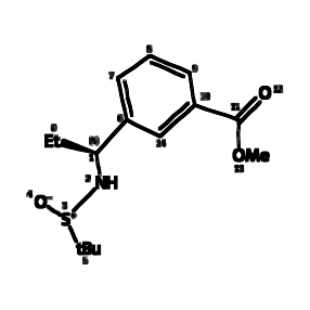 CC[C@H](N[S+]([O-])C(C)(C)C)c1cccc(C(=O)OC)c1